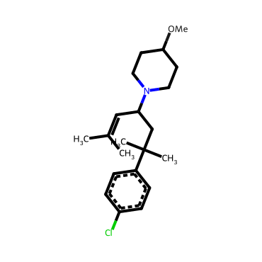 COC1CCN(C(C=C(C)C)CC(C)(C)c2ccc(Cl)cc2)CC1